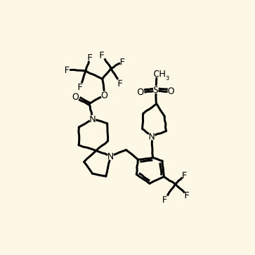 CS(=O)(=O)C1CCN(c2cc(C(F)(F)F)ccc2CN2CCCC23CCN(C(=O)OC(C(F)(F)F)C(F)(F)F)CC3)CC1